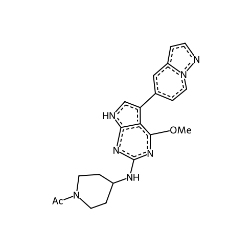 COc1nc(NC2CCN(C(C)=O)CC2)nc2[nH]cc(-c3ccn4nccc4c3)c12